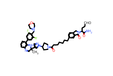 CC1(c2cnn(C3CCN(C(=O)CCCCCCc4ccc5c(c4)C(=O)N(C(CCC=O)C(N)=O)C5)CC3)c2)C=Nc2cccc(-c3cc(F)c(CN4CCOCC4)c(F)c3)c2N1